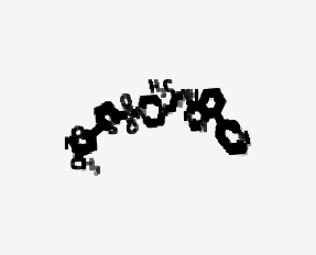 Cc1cc(-c2ccc(S(=O)(=O)N3CCN(C[C@H](C)Nc4ncnc5c(-c6cccnc6)cccc45)CC3)s2)on1